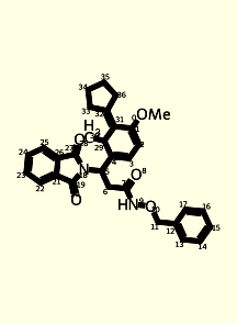 COC1=CC=C(C(CC(=O)NOCc2ccccc2)N2C(=O)c3ccccc3C2=O)C(C)C1=C1CCCC1